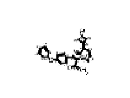 NC(=O)c1c(-c2ccc(OC3C=CC=CC3)cc2)nc2n1NCCC2C1CNC1